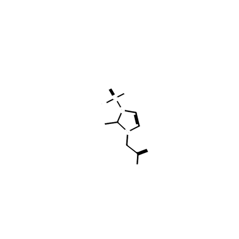 CC1N(CC(=O)O)C=CN1P(=O)(O)O